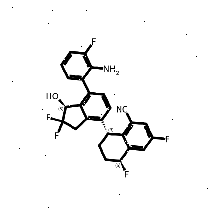 N#Cc1cc(F)cc2c1[C@@H](c1ccc(-c3cccc(F)c3N)c3c1CC(F)(F)[C@H]3O)CC[C@@H]2F